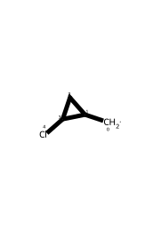 [CH2]C1CC1Cl